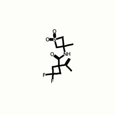 C=C(C)C1(C(=O)NC2(C)CS(=O)(=O)C2)CC(F)(F)C1